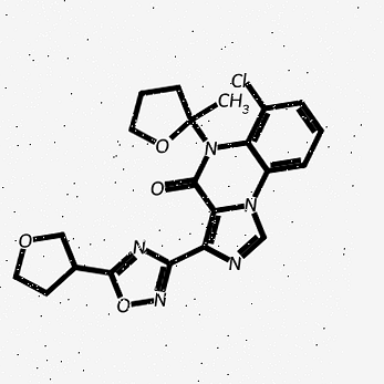 CC1(n2c(=O)c3c(-c4noc(C5CCOC5)n4)ncn3c3cccc(Cl)c32)CCCO1